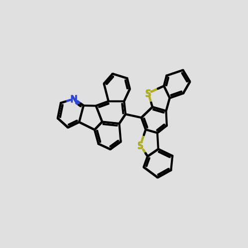 c1cnc2c(c1)-c1cccc3c(-c4c5sc6ccccc6c5cc5c4sc4ccccc45)c4ccccc4c-2c13